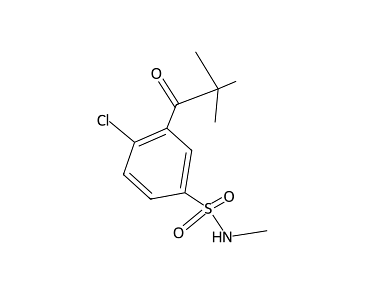 CNS(=O)(=O)c1ccc(Cl)c(C(=O)C(C)(C)C)c1